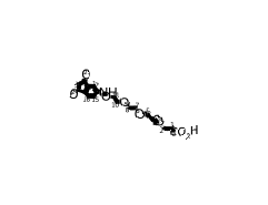 O=C(O)CCOCCOCCOCCONc1ccc2c(c1)C(=O)CC2=O